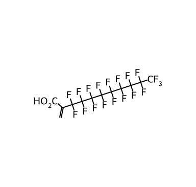 C=C(C(=O)O)C(F)(F)C(F)(F)C(F)(F)C(F)(F)C(F)(F)C(F)(F)C(F)(F)C(F)(F)C(F)(F)F